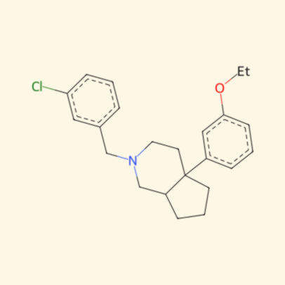 CCOc1cccc(C23CCCC2CN(Cc2cccc(Cl)c2)CC3)c1